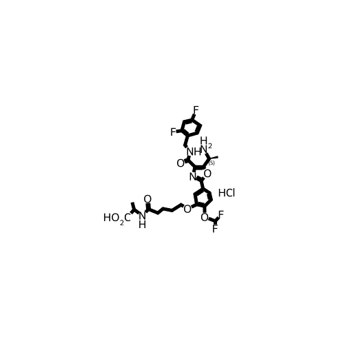 CC(NC(=O)CCCCOc1cc(-c2nc(C(=O)NCc3ccc(F)cc3F)c([C@H](C)N)o2)ccc1OC(F)F)C(=O)O.Cl